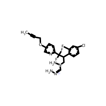 CC#CCOc1ccc(C(F)(F)C(CN(N)/C=N\N)c2ccc(Cl)cc2F)nc1